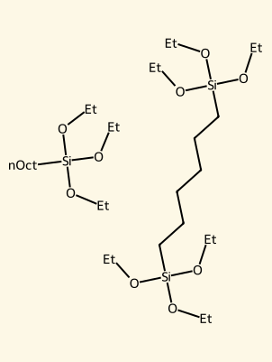 CCCCCCCC[Si](OCC)(OCC)OCC.CCO[Si](CCCCCC[Si](OCC)(OCC)OCC)(OCC)OCC